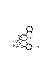 CC1(C)Oc2ccc(C#N)cc2[C@H](N/C(=N\C#N)c2ccccc2F)[C@H]1O